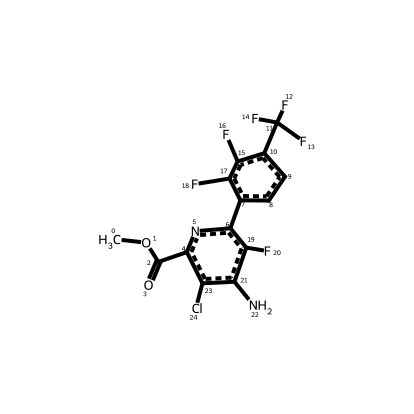 COC(=O)c1nc(-c2ccc(C(F)(F)F)c(F)c2F)c(F)c(N)c1Cl